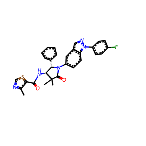 Cc1ncsc1C(=O)N[C@H]1[C@H](c2ccccc2)N(c2ccc3c(cnn3-c3ccc(F)cc3)c2)C(=O)C1(C)C